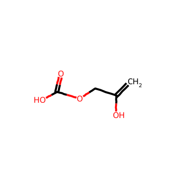 C=C(O)COC(=O)O